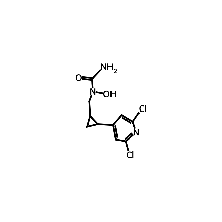 NC(=O)N(O)CC1CC1c1cc(Cl)nc(Cl)c1